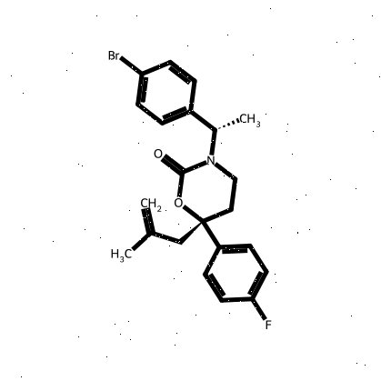 C=C(C)C[C@]1(c2ccc(F)cc2)CCN([C@@H](C)c2ccc(Br)cc2)C(=O)O1